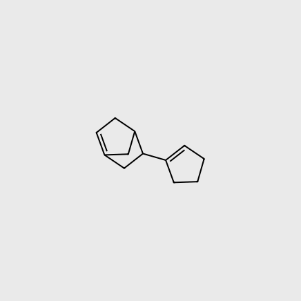 C1=C2CC(C1)C(C1=CCCC1)C2